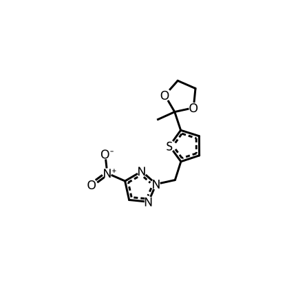 CC1(c2ccc(Cn3ncc([N+](=O)[O-])n3)s2)OCCO1